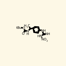 CC(NC(=O)OC(C)(C)C)c1ccc(NC(=N)N[N+](=O)[O-])cc1